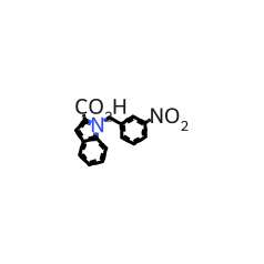 O=C(O)c1cc2ccccc2n1Cc1cccc([N+](=O)[O-])c1